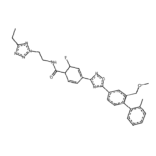 CCc1nnn(CCNC(=O)C2C=CC(c3noc(-c4ccc(-c5ccccc5C)c(COC)c4)n3)=CC2F)n1